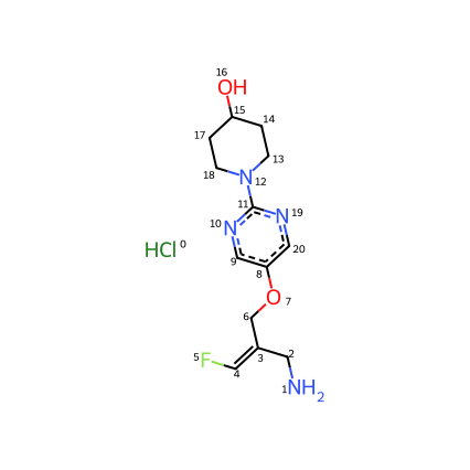 Cl.NC/C(=C/F)COc1cnc(N2CCC(O)CC2)nc1